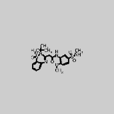 CNS(=O)(=O)c1ccc(OC)c(NC(=O)CC2=Nc3ccccc3S(=O)(=O)N2C(C)(C)C)c1